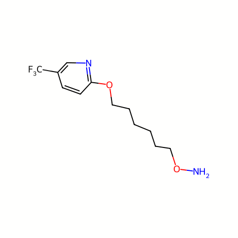 NOCCCCCCOc1ccc(C(F)(F)F)cn1